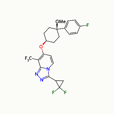 CO[C@]1(c2ccc(F)cc2)CC[C@H](Oc2ccn3c(C4CC4(F)F)nnc3c2C(F)(F)F)CC1